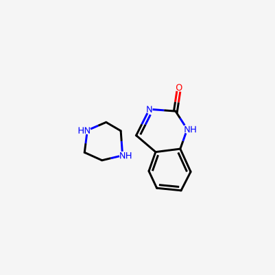 C1CNCCN1.O=c1ncc2ccccc2[nH]1